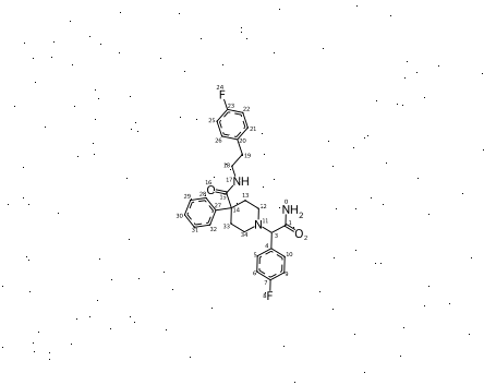 NC(=O)C(c1ccc(F)cc1)N1CCC(C(=O)NCCc2ccc(F)cc2)(c2ccccc2)CC1